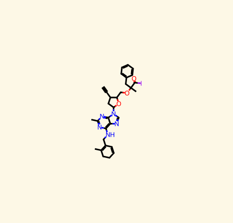 C#CC1CC(n2cnc3c(NCC4=C(C)CCC=C4)nc(C)nc32)OC1COC(C)(Cc1ccccc1)C(=O)I